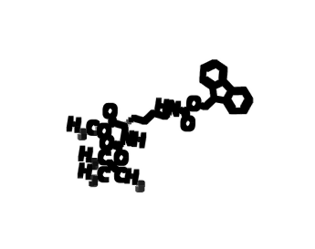 COC(=O)[C@H](CCCCNC(=O)OCC1c2ccccc2-c2ccccc21)NC(=O)OC(C)(C)C